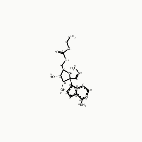 CCOC(=O)OC[C@H]1O[C@@](/C=N\C)(c2ccc3c(N)ncnn23)[C@H](O)[C@@H]1O